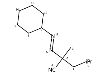 CC(C)CC(C)(C#N)N=NC1CCCCC1